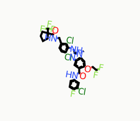 Cn1c(Nc2c(Cl)ccc(CNC(=O)C3(C(F)(F)F)CCCC3)c2Cl)nc2cc(C(=O)Nc3ccc(F)c(Cl)c3)c(OCC(F)F)cc21